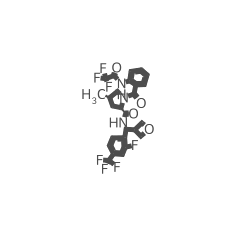 C[C@@H]1C[C@H](C(=O)N[C@@H](c2ccc(C(F)(F)F)cc2F)C2COC2)N(C(=O)c2ccccc2NC(=O)C(F)(F)F)C1